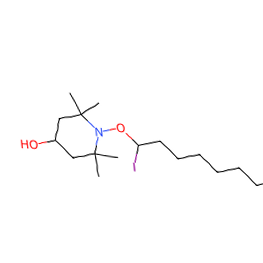 CCCCCCCC(I)ON1C(C)(C)CC(O)CC1(C)C